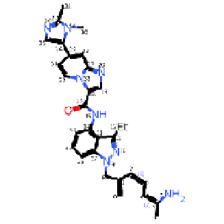 C=C(/C=C\C=C(\C)N)Cn1nc(CC)c2c(NC(=O)c3cnc4cc(-c5cnc(C)n5C)ccn34)cccc21